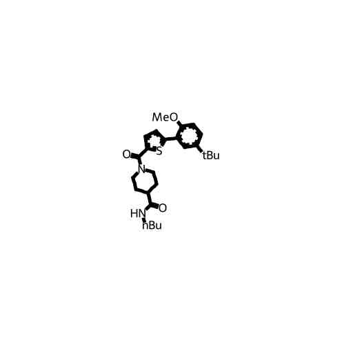 CCCCNC(=O)C1CCN(C(=O)c2ccc(-c3cc(C(C)(C)C)ccc3OC)s2)CC1